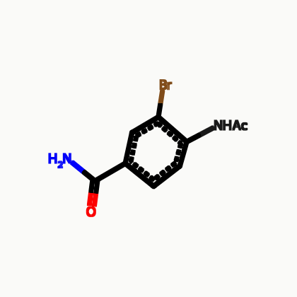 CC(=O)Nc1ccc(C(N)=O)cc1Br